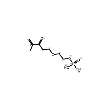 C=C(C)C(=O)CCOCCOP(=O)(O)O